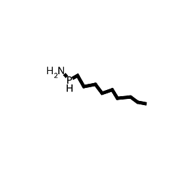 CCCCCCCCCPN